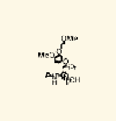 COCCCOc1cc(O[C@@H](C[C@@H]2CN(B(C)O)C[C@H]2CNC2CC2)C(C)C)ccc1OC